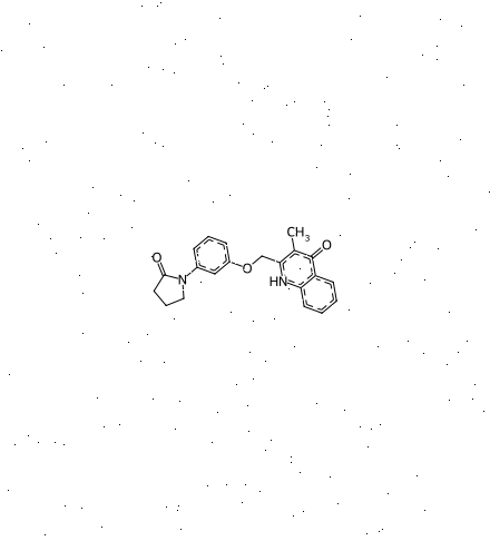 Cc1c(COc2cccc(N3CCCC3=O)c2)[nH]c2ccccc2c1=O